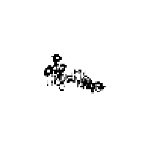 Cc1c(C)c(S(=O)(=O)NC(=N)NCCC[C@H](NC(=O)c2cccn(C(c3ccccc3)c3ccccc3)c2=O)C(=O)O)c(C)c2c1OC(C)(C)CC2